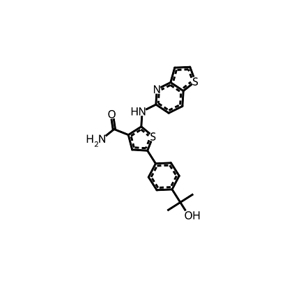 CC(C)(O)c1ccc(-c2cc(C(N)=O)c(Nc3ccc4sccc4n3)s2)cc1